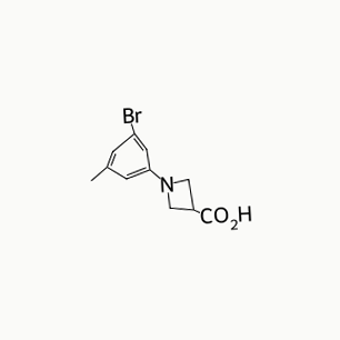 Cc1cc(Br)cc(N2CC(C(=O)O)C2)c1